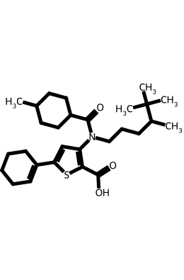 CC1CCC(C(=O)N(CCCC(C)C(C)(C)C)c2cc(C3=CCCCC3)sc2C(=O)O)CC1